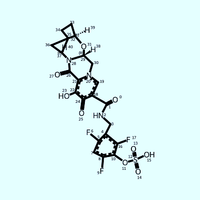 O=C(NCc1c(F)cc(F)c(OS(=O)(=O)O)c1F)c1cn2c(c(O)c1=O)C(=O)N1[C@@H](C2)O[C@@H]2CCC23C[C@@H]13